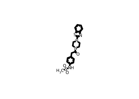 CS(=O)(=O)Nc1ccc(CC(=O)N2CCN(c3nc4ccccc4s3)CC2)cc1